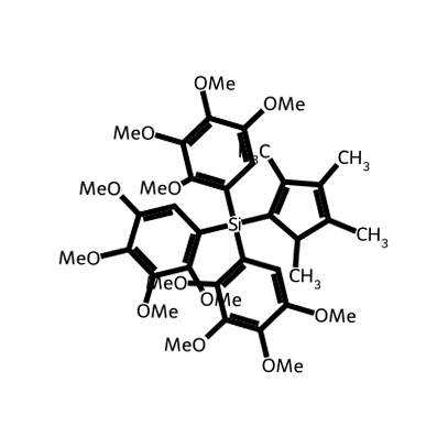 COc1cc([Si](C2=C(C)C(C)=C(C)C2C)(c2cc(OC)c(OC)c(OC)c2OC)c2cc(OC)c(OC)c(OC)c2OC)c(OC)c(OC)c1OC